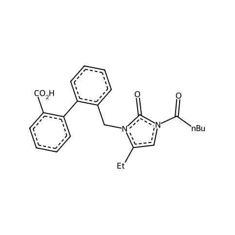 CCCCC(=O)n1cc(CC)n(Cc2ccccc2-c2ccccc2C(=O)O)c1=O